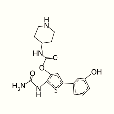 NC(=O)Nc1sc(-c2cccc(O)c2)cc1OC(=O)NC1CCNCC1